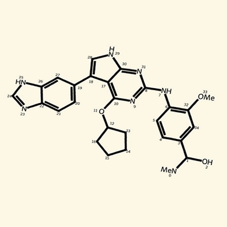 CNC(O)c1ccc(Nc2nc(OC3CCCC3)c3c(-c4ccc5nc[nH]c5c4)c[nH]c3n2)c(OC)c1